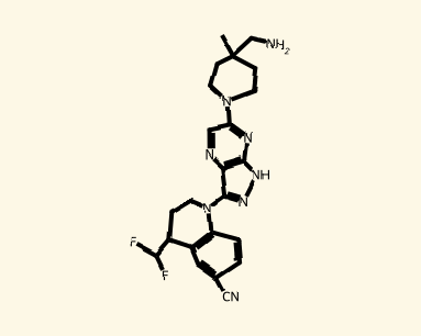 CC1(CN)CCN(c2cnc3c(N4CCC(C(F)F)c5cc(C#N)ccc54)n[nH]c3n2)CC1